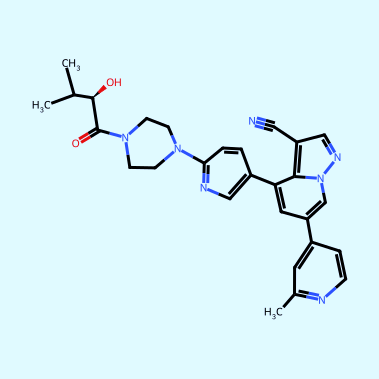 Cc1cc(-c2cc(-c3ccc(N4CCN(C(=O)[C@H](O)C(C)C)CC4)nc3)c3c(C#N)cnn3c2)ccn1